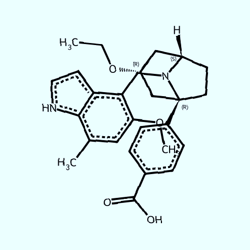 CCO[C@@H]1C[C@@H]2CC[C@](c3ccc(C(=O)O)cc3)(C1)N2Cc1c(OC)cc(C)c2[nH]ccc12